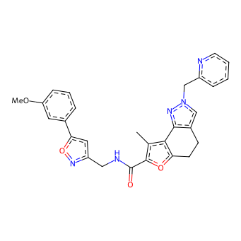 COc1cccc(-c2cc(CNC(=O)c3oc4c(c3C)-c3nn(Cc5ccccn5)cc3CC4)no2)c1